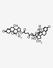 C[C@@H]1CC2=CC(=O)CC[C@]2(C)C2CC[C@@]3(C)C(CC[C@@H]3OC(=O)CCC(=O)OCC(O)[C@@]3(O)[C@@H](C)CC4C5CCC6=CC(=O)C=C[C@]6(C)[C@@]5(F)[C@@H](O)C[C@@]43C)C21